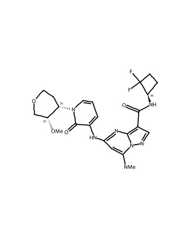 CNc1cc(Nc2cccn([C@H]3CCOC[C@H]3OC)c2=O)nc2c(C(=O)N[C@@H]3CCC3(F)F)cnn12